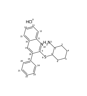 Cl.NC1CCCCC1Sc1nc2ccccc2cc1-c1ccccc1